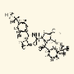 C=C1C[C@H](C(=O)N[C@@H](c2ccc(C(C)(F)F)cc2F)C2COC2)N(C(=O)c2cccc(C(F)(F)F)n2)[C@@H]1I